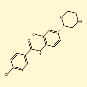 O=C(Nc1ccc([C@H]2CNCCO2)cc1Cl)c1ccc(Cl)nc1